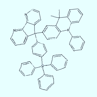 CC1(C)c2ccccc2N(c2ccccc2)c2ccc(C3(c4ccc([Si](c5ccccc5)(c5ccccc5)c5ccccc5)cc4)c4cccnc4-c4ncccc43)cc21